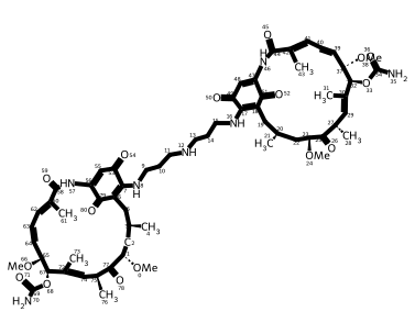 CO[C@H]1C[C@H](C)CC2=C(NCCCNCCCNC3=C4C[C@@H](C)C[C@H](OC)C(=O)[C@@H](C)/C=C(\C)[C@H](OC(N)=O)[C@@H](OC)/C=C\C=C(/C)C(=O)NC(=CC3=O)C4=O)C(=O)C=C(NC(=O)/C(C)=C/C=C\[C@H](OC)[C@@H](OC(N)=O)/C(C)=C/[C@H](C)C1=O)C2=O